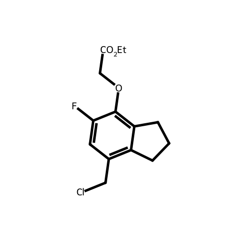 CCOC(=O)COc1c(F)cc(CCl)c2c1CCC2